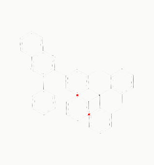 c1ccc(-c2nc3ccccc3nc2-c2ccc3c(c2)Oc2cccc4c2C3(c2ccccc2)c2ccccc2O4)cc1